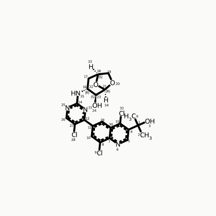 CC(C)(O)c1cnc2c(Cl)cc(-c3nc(N[C@@H]4C[C@H]5CO[C@H](O5)[C@H]4O)ncc3Cl)cc2c1Cl